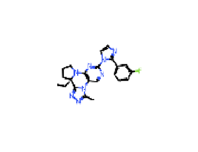 CC[C@@]12CCCN1c1nc(-n3ccnc3-c3cccc(F)c3)ncc1-n1c(C)nnc12